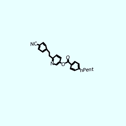 CCCCCc1ccc(C(=O)Oc2ccc(CCc3ccc(C#N)cc3)nc2)cc1